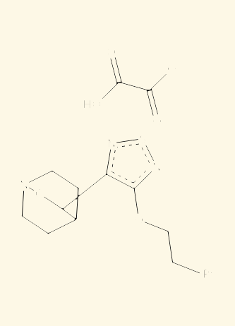 CC(C)CCOc1nsnc1C1CN2CCC1CC2.O=C(O)C(=O)O